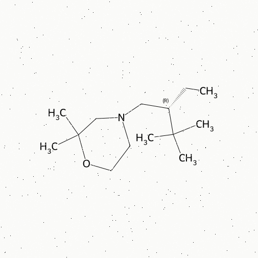 CC[C@@H](CN1CCOC(C)(C)C1)C(C)(C)C